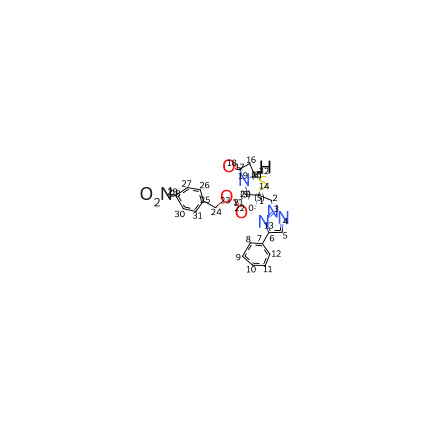 C[C@@]1(Cn2ncc(-c3ccccc3)n2)S[C@H]2CC(=O)N2[C@H]1C(=O)OCc1ccc([N+](=O)[O-])cc1